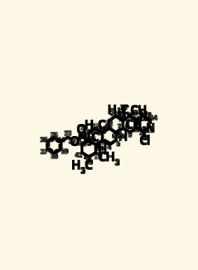 C[C@@H]1[C@H]2C3=CC[C@H]4[C@]5(C)Cc6c(Cl)ncnc6C(C)(C)[C@H]5CC[C@]4(C)[C@]3(C)CC[C@@]2(C(=O)OCc2ccccc2)CC[C@@H]1C